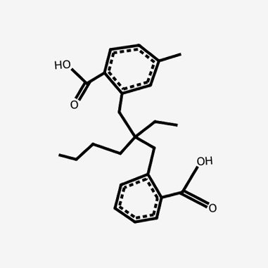 CCCCC(CC)(Cc1ccccc1C(=O)O)Cc1cc(C)ccc1C(=O)O